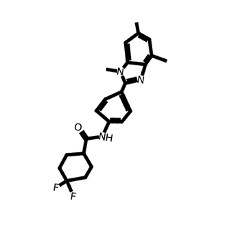 Cc1cc(C)c2nc(-c3ccc(NC(=O)C4CCC(F)(F)CC4)cc3)n(C)c2c1